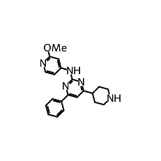 COc1cc(Nc2nc(-c3ccccc3)cc(C3CCNCC3)n2)ccn1